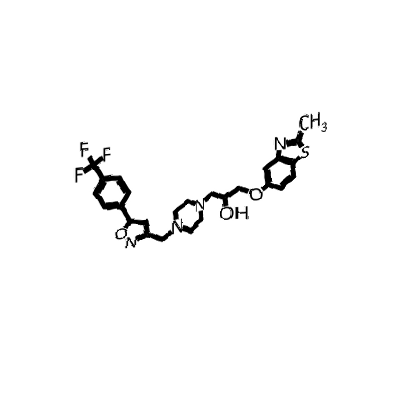 Cc1nc2cc(OCC(O)CN3CCN(CC4=NOC(c5ccc(C(F)(F)F)cc5)C4)CC3)ccc2s1